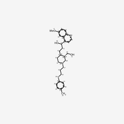 COc1ccc2nccc(C(O)CC[C@@H]3CCN(CCCSc4ccc(C)cc4)C[C@@H]3CO)c2c1